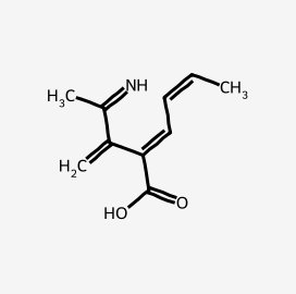 C=C(C(C)=N)/C(=C\C=C/C)C(=O)O